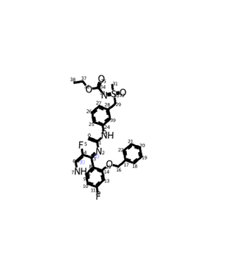 C=C(/N=C(\C(F)=C/N)c1ccc(F)cc1OCc1ccccc1)Nc1cccc(CS(C)(=O)=NC(=O)OCC)c1